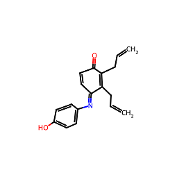 C=CCC1=C(CC=C)C(=Nc2ccc(O)cc2)C=CC1=O